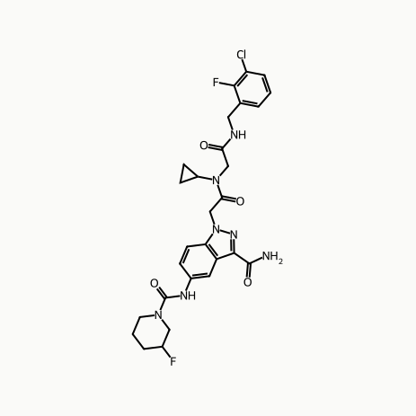 NC(=O)c1nn(CC(=O)N(CC(=O)NCc2cccc(Cl)c2F)C2CC2)c2ccc(NC(=O)N3CCCC(F)C3)cc12